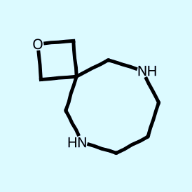 C1CNCC2(CNC1)COC2